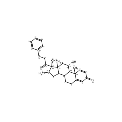 C[C@@H]1CC2C3CCC4=CC(=O)C=CC4(C)C3[C@@H](O)CC2(C)[C@@]1(O)C(=O)COc1cccnc1